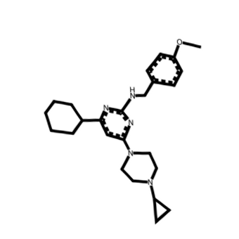 COc1ccc(CNc2nc(C3CCCCC3)cc(N3CCN(C4CC4)CC3)n2)cc1